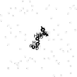 Cc1ccc(-n2nc(C(C)(C)C)cc2NC(=O)Nc2cccc(CC3CCN(C(=O)[C@H]4CCC(=O)N4)CC3)c2)cc1